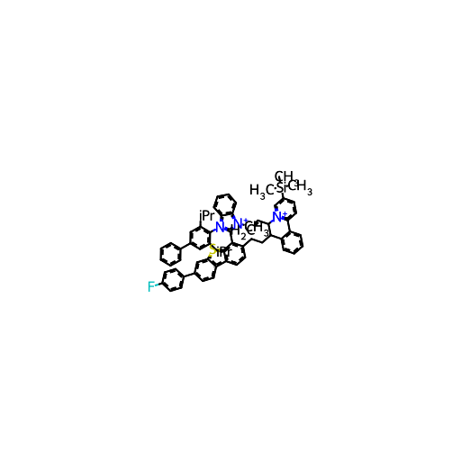 C=CC1C(CCc2ccc3c(sc4cc(-c5ccc(F)cc5)ccc43)c2-c2n(-c3c(C(C)C)cc(-c4ccccc4)cc3C(C)C)c3ccccc3[n+]2C)c2ccccc2-c2ccc([Si](C)(C)C)c[n+]21